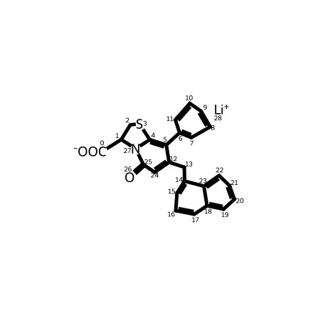 O=C([O-])C1CSc2c(-c3ccccc3)c(Cc3cccc4ccccc34)cc(=O)n21.[Li+]